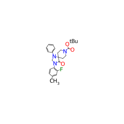 Cc1ccc(N2CN(c3ccccc3)C3(CCN(C(=O)OC(C)(C)C)CC3)C2=O)c(F)c1